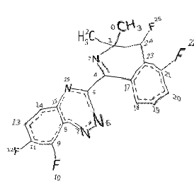 CC1(C)N=C(c2nnc3c(F)c(F)ccc3n2)c2cccc(F)c2C1F